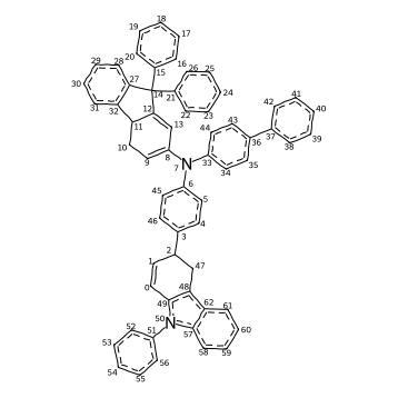 C1=CC(c2ccc(N(C3=CCC4C(=C3)C(c3ccccc3)(c3ccccc3)c3ccccc34)c3ccc(-c4ccccc4)cc3)cc2)Cc2c1n(-c1ccccc1)c1ccccc21